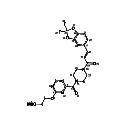 COCCOc1nccc(C(=O)N2CCN(C(=O)C=Cc3ccc4c(c3)OC(F)(F)O4)CC2)n1